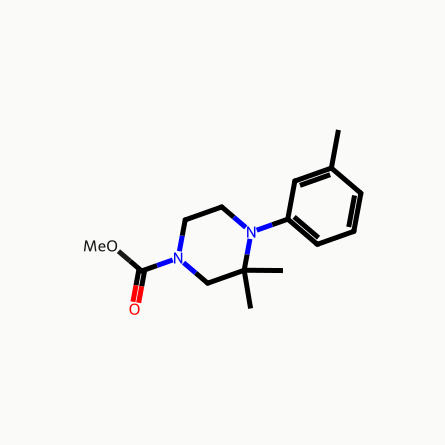 COC(=O)N1CCN(c2cccc(C)c2)C(C)(C)C1